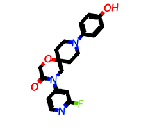 O=C1COC2(CCN(c3ccc(O)cc3)CC2)CN1c1ccnc(F)c1